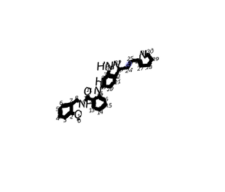 COc1ccccc1CNC(=O)c1ccccc1Nc1ccc2c(/C=C/c3ccccn3)n[nH]c2c1